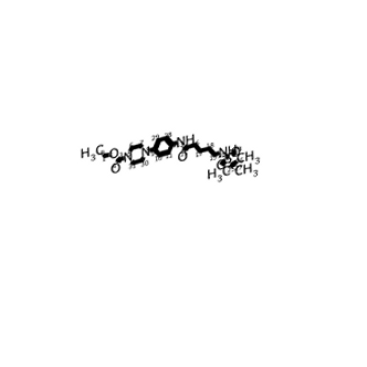 CCOC(=O)N1CCN(c2ccc(NC(=O)CCCCNS(=O)(=O)C(C)(C)C)cc2)CC1